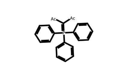 CC(=O)C(C(C)=O)=P(c1ccccc1)(c1ccccc1)c1ccccc1